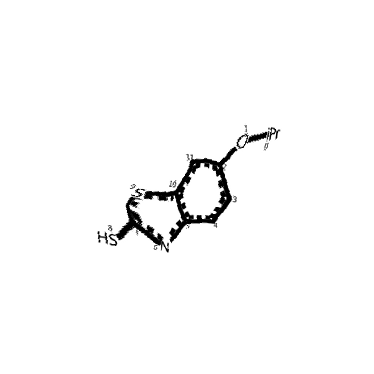 CC(C)Oc1ccc2nc(S)sc2c1